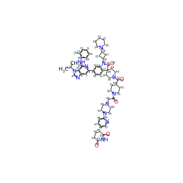 CC(C)n1cnc2cc(-c3ccc4c(c3)N(C3CC(N5CCCCC5)C3)C(=O)C43CCN(C(=O)C4CCN(C(=O)CN5CCN(c6ccc([C@H]7CCC(=O)NC7=O)cn6)CC5)CC4)CC3)nc(Nc3ccccc3F)c21